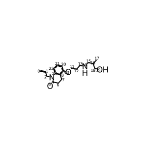 C=CCN1C(=O)CCc2c(OCCCNCC(C)CO)cccc21